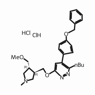 CCCCc1nnc(OC[C@H]2CN(C)C[C@@H]2COC)cc1-c1ccc(OCc2ccccc2)cc1.Cl.Cl